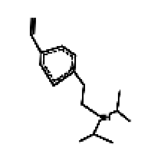 C=Cc1ccc(CC[SiH](C(C)C)C(C)C)cc1